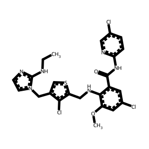 CCNc1nccn1Cc1csc(CNc2c(OC)cc(Cl)cc2C(=O)Nc2ccc(Cl)cn2)c1Cl